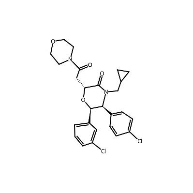 O=C(C[C@H]1O[C@H](c2cccc(Cl)c2)[C@H](c2ccc(Cl)cc2)N(CC2CC2)C1=O)N1CCOCC1